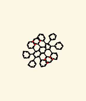 c1ccc(-c2c(-c3ccccc3)c(-c3ccccc3)c3c(-c4ccccc4)c4c(-c5ccccc5)c(-c5ccccc5)c(-c5ccccc5)c(-c5ccccc5)c4c(-c4ccccc4)c3c2-c2ccccc2)cc1